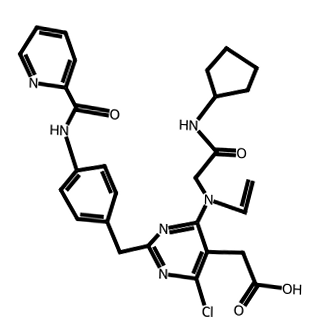 C=CN(CC(=O)NC1CCCC1)c1nc(Cc2ccc(NC(=O)c3ccccn3)cc2)nc(Cl)c1CC(=O)O